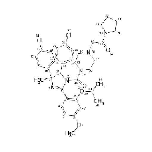 COc1ccc(C2=NC(C)(c3ccc(Cl)cc3)C(c3ccc(Cl)cc3)N2C(=O)N2CCN(CC(=O)N3CCCC3)CC2)c(OC(C)C)c1